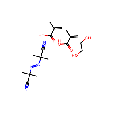 C=C(C)C(=O)O.C=C(C)C(=O)O.CC(C)(C#N)N=NC(C)(C)C#N.OCCO